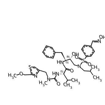 COCc1nc(CN(C)C(=O)N[C@H](C(=O)N[C@@H](Cc2ccccc2)[C@H](O)CN(CC(C)C)S(=O)(=O)c2ccc(C=NO)cc2)C(C)C)cs1